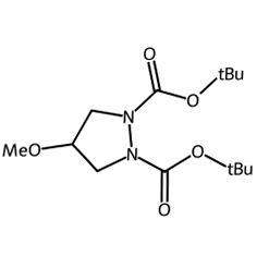 COC1CN(C(=O)OC(C)(C)C)N(C(=O)OC(C)(C)C)C1